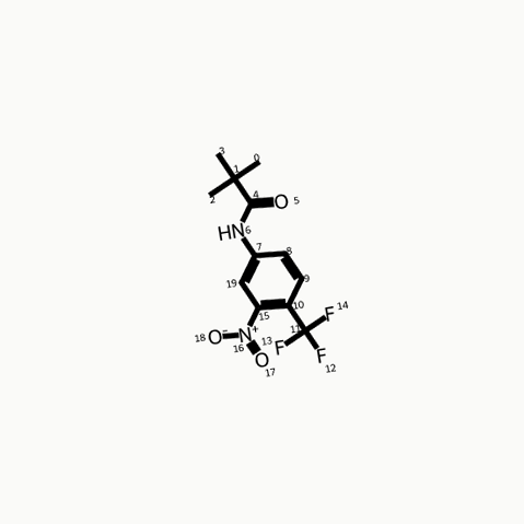 CC(C)(C)C(=O)Nc1ccc(C(F)(F)F)c([N+](=O)[O-])c1